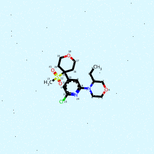 CCC1COCCN1c1cc(C2(S(C)(=O)=O)CCOCC2)cc(Cl)n1